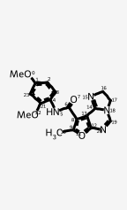 COc1ccc(NC(=O)c2c(C)oc3c2C2=NCCN2C=N3)c(OC)c1